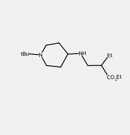 CCOC(=O)C(CC)CNC1CCN(C(C)(C)C)CC1